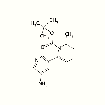 CC1CCC=C(c2cncc(N)c2)N1C(=O)OC(C)(C)C